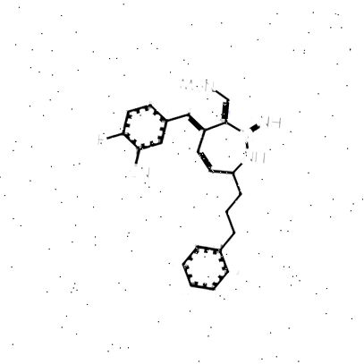 CN/C=C1\C(=C\c2ccc(F)c(C#N)c2)C=CC(CCCc2ccccc2)NS1=N